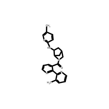 Cc1ccc(NC2CC3CC2N(C(=O)c2cccnc2-c2ncccc2C)C3)nc1